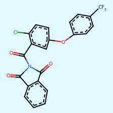 O=C(c1cc(Oc2ccc(C(F)(F)F)cc2)ccc1Cl)N1C(=O)c2ccccc2C1=O